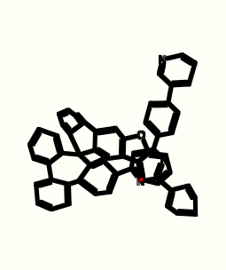 c1ccc(-c2nc(-c3ccc(-c4cccnc4)cc3)cc(-c3ccc4c(c3)C3(c5ccccc5-c5ccccc5-4)c4ccccc4-c4cc5oc6ccccc6c5cc43)n2)cc1